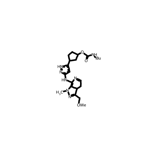 CCC(C)NC(=O)OC1CCC(c2cc(NC3=C4C(CC=N3)C(COC)=NN4C)n[nH]2)C1